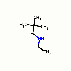 CCN[CH]C(C)(C)C